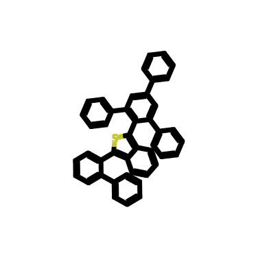 c1ccc(-c2cc(-c3ccccc3)c(-c3sc(-c4ccccc4-c4ccccc4)c4ccccc34)c(-c3ccccc3)c2)cc1